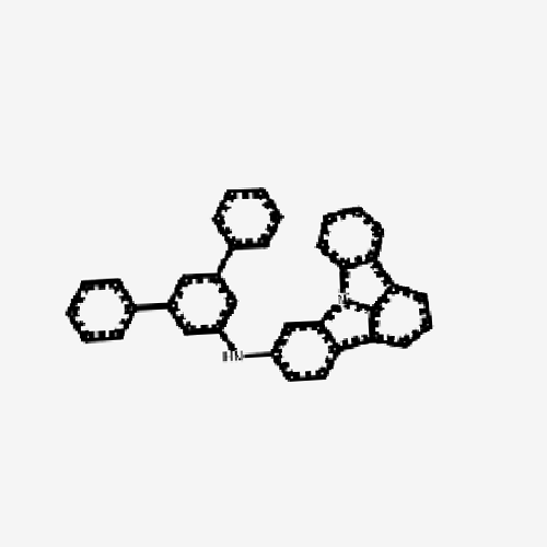 c1ccc(-c2cc(Nc3ccc4c5cccc6c7ccccc7n(c4c3)c65)cc(-c3ccccc3)c2)cc1